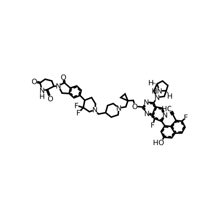 C#Cc1c(F)ccc2cc(O)cc(-c3ncc4c(N5C[C@H]6CC[C@@H](C5)N6)nc(OCC5(CN6CCC(CN7CCC(c8ccc9c(c8)CN(C8CCC(=O)NC8=O)C9=O)C(F)(F)C7)CC6)CC5)nc4c3F)c12